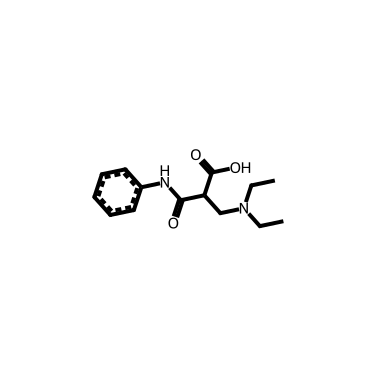 CCN(CC)CC(C(=O)O)C(=O)Nc1ccccc1